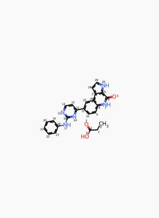 CCC(=O)O.O=c1[nH]c2ccc(-c3ccnc(Nc4ccccc4)n3)cc2c2cc[nH]c12